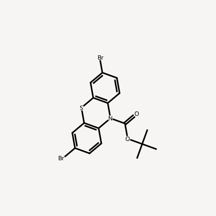 CC(C)(C)OC(=O)N1c2ccc(Br)cc2Sc2cc(Br)ccc21